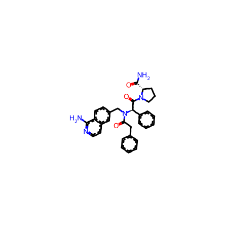 NC(=O)[C@@H]1CCCN1C(=O)[C@@H](c1ccccc1)N(Cc1ccc2c(N)nccc2c1)C(=O)Cc1ccccc1